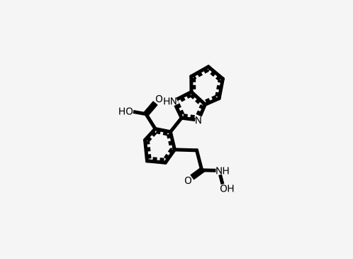 O=C(Cc1cccc(C(=O)O)c1-c1nc2ccccc2[nH]1)NO